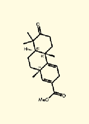 COC(=O)C1=C[C@]2(C)CC[C@H]3C(C)(C)C(=O)CC[C@]3(C)C2=CC1